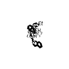 CCN1CCN(c2cccc(OCC(=O)NCCCN3CCc4ccccc4C3)c2S(=O)(=O)N(C)C)CC1